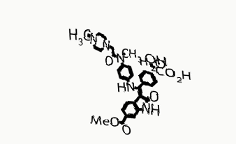 COC(=O)c1ccc2c(c1)NC(=O)C2=C(Nc1ccc(N(C)C(=O)CN2CCN(C)CC2)cc1)c1ccccc1.O.O=C(O)CO